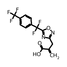 C=C(Cc1noc(C(F)(F)c2ccc(C(F)(F)F)cc2)n1)C(=O)O